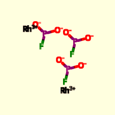 [O-]P([O-])F.[O-]P([O-])F.[O-]P([O-])F.[Rh+3].[Rh+3]